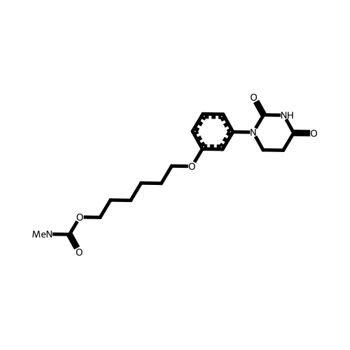 CNC(=O)OCCCCCCOc1cccc(N2CCC(=O)NC2=O)c1